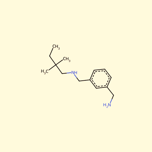 CCC(C)(C)CNCc1cccc(CN)c1